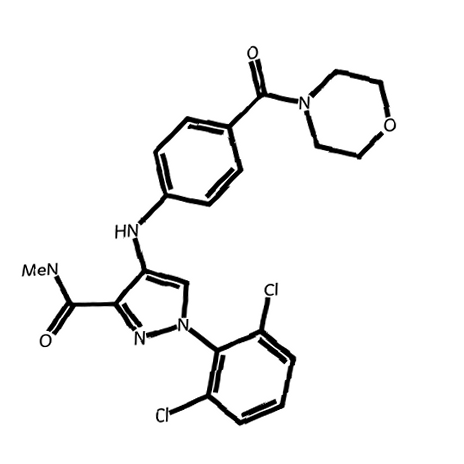 CNC(=O)c1nn(-c2c(Cl)cccc2Cl)cc1Nc1ccc(C(=O)N2CCOCC2)cc1